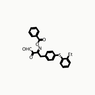 CCc1ccccc1Sc1ccc(CC(=NOC(=O)c2ccccc2)C(=O)C=O)cc1